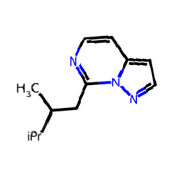 CC(C)C(C)Cc1nccc2ccnn12